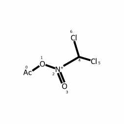 CC(=O)O[N+](=O)C(Cl)Cl